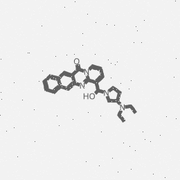 CCN(CC)C1CCN(C(O)c2cccn3c(=O)c4cc5ccccc5cc4nc23)C1